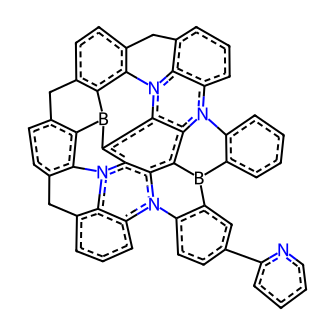 c1ccc(-c2ccc3c(c2)B2c4ccccc4-n4c5cccc6c5n5c7c8c9c(c2c74)n-3c2cccc3c2n9-c2c(ccc4c2B8c2c(ccc(c2-5)C6)C4)C3)nc1